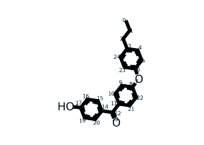 CCCc1ccc(Oc2ccc(C(=O)c3ccc(O)cc3)cc2)cc1